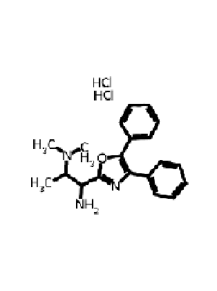 CC(C(N)c1nc(-c2ccccc2)c(-c2ccccc2)o1)N(C)C.Cl.Cl